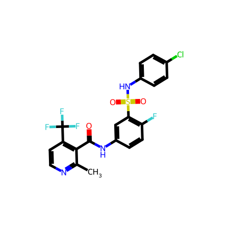 Cc1nccc(C(F)(F)F)c1C(=O)Nc1ccc(F)c(S(=O)(=O)Nc2ccc(Cl)cc2)c1